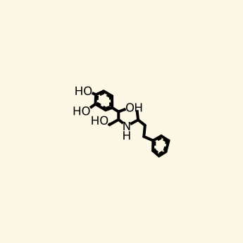 CC(CCc1ccccc1)NC(CO)C(O)c1ccc(O)c(O)c1